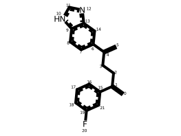 C=C(CCC(=C)c1ccc2[nH]cnc2c1)c1cccc(F)c1